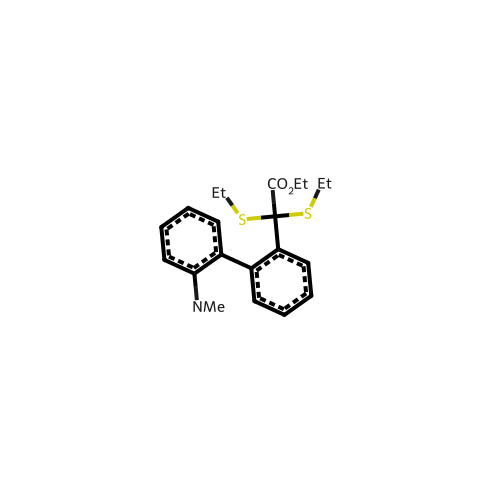 CCOC(=O)C(SCC)(SCC)c1ccccc1-c1ccccc1NC